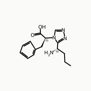 CCC[C@H](N)c1nncn1[C@@H](Cc1ccccc1)C(=O)O